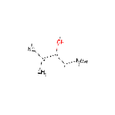 CNCC(O)C(C)C#N